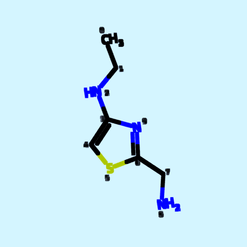 CCNc1csc(CN)n1